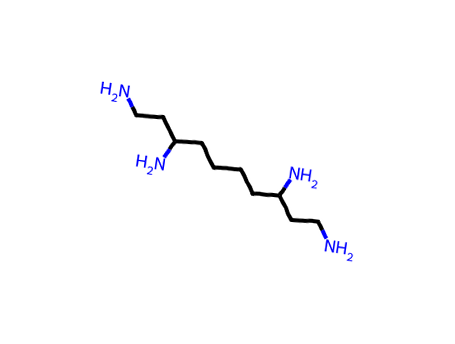 NCCC(N)CCCCC(N)CCN